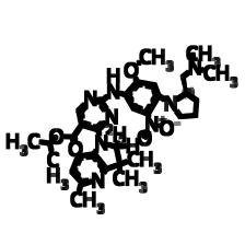 [2H]C1([2H])N(c2nc(Nc3cc([N+](=O)[O-])c(N4CCC[C@@H]4CN(C)C)cc3OC)ncc2C(=O)OC(C)C)c2ccc(C)nc2C1(C)C